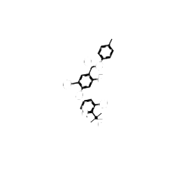 Cc1ccc(OC(=O)c2cc(Cl)c(Oc3cnc(C(C)(C)F)c(Cl)c3)cc2F)cc1